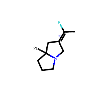 C/C(F)=C1\CN2CCCC2(C(C)C)C1